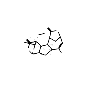 CC1=C[C@H]2C[C@]3(CC[C@@]45C(=O)O[C@@H](C[C@H]4C)[C@H]4C[C@H]1[C@]3(O)[C@H]45)C(=O)O2